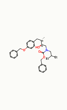 CCC(CC)CN(C[C@@H](O)[C@@H](C)Cc1ccc(OCc2ccccc2)cc1)C(=O)OCc1ccccc1